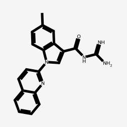 Cc1ccc2c(c1)c(C(=O)NC(=N)N)cn2-c1ccc2ccccc2n1